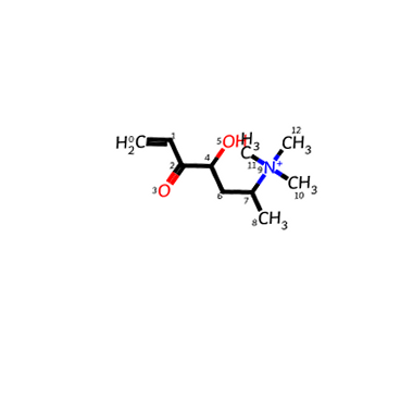 C=CC(=O)C(O)C[C](C)[N+](C)(C)C